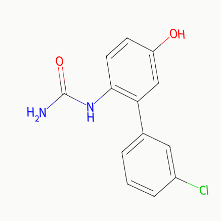 NC(=O)Nc1ccc(O)cc1-c1cccc(Cl)c1